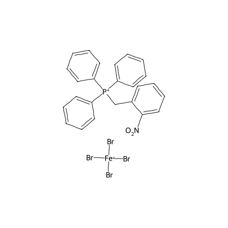 O=[N+]([O-])c1ccccc1C[P+](c1ccccc1)(c1ccccc1)c1ccccc1.[Br][Fe-]([Br])([Br])[Br]